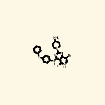 NC1CCN(c2nc(Nc3ccc(Oc4ccccc4)cc3)c3c(=O)[nH]cc(Br)c3n2)CC1